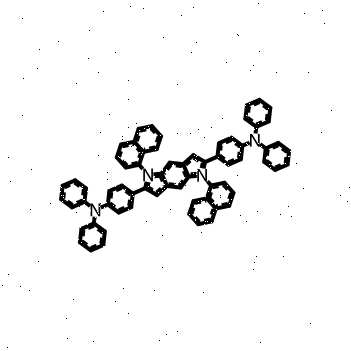 c1ccc(N(c2ccccc2)c2ccc(-c3cc4cc5c(cc(-c6ccc(N(c7ccccc7)c7ccccc7)cc6)n5-c5cccc6ccccc56)cc4n3-c3cccc4ccccc34)cc2)cc1